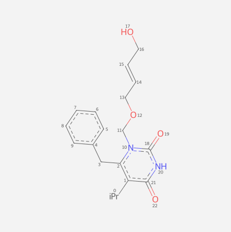 CC(C)c1c(Cc2ccccc2)n(COCC=CCO)c(=O)[nH]c1=O